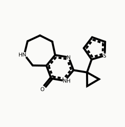 O=c1[nH]c(C2(c3cccs3)CC2)nc2c1CNCCC2